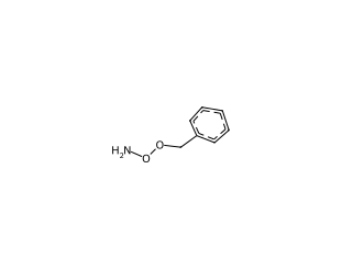 NOOCc1ccccc1